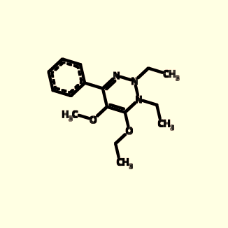 CCOC1=C(OC)C(c2ccccc2)=NN(CC)N1CC